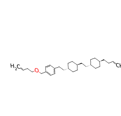 C=CCCOCc1ccc(CC[C@H]2CC[C@H](CC[C@H]3CC[C@H](CCC=C)CC3)CC2)cc1